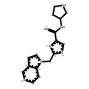 N=C(NC1CCNC1)c1csc(Cn2ccc3cnccc32)n1